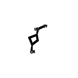 CC(C)N[C@H]1C[C@@H](C#N)C1